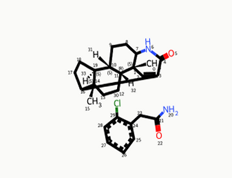 C[C@]12C=C3C(=O)NC1CC[C@@H]1[C@H]2CC[C@]2(C)C3CC[C@@H]12.NC(=O)Cc1ccccc1Cl